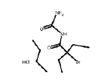 CCC(Br)(CC)C(=O)NC(N)=O.CCCC.Cl